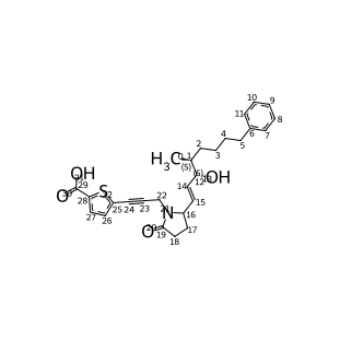 C[C@@H](CCCCc1ccccc1)[C@H](O)C=CC1CCC(=O)N1CC#Cc1ccc(C(=O)O)s1